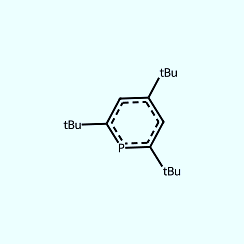 CC(C)(C)c1cc(C(C)(C)C)pc(C(C)(C)C)c1